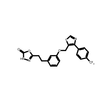 O=c1[nH]nc(CCc2cccc(OCc3scnc3-c3ccc(C(F)(F)F)cc3)c2)o1